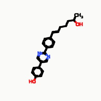 CC(O)CCC/C=C/c1ccc(-c2ncc(-c3ccc(O)cc3)cn2)cc1